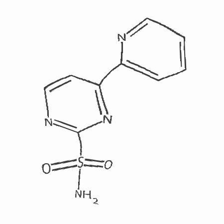 NS(=O)(=O)c1nccc(-c2ccccn2)n1